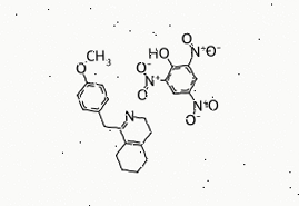 COc1ccc(CC2=NCCC3=C2CCCC3)cc1.O=[N+]([O-])c1cc([N+](=O)[O-])c(O)c([N+](=O)[O-])c1